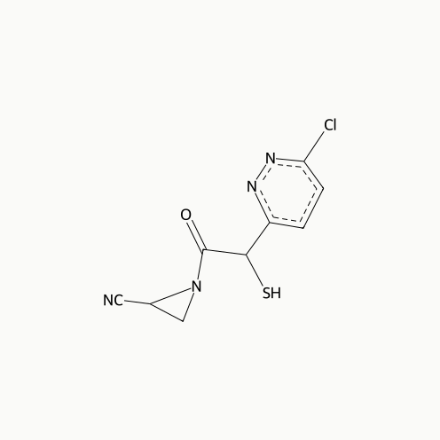 N#CC1CN1C(=O)C(S)c1ccc(Cl)nn1